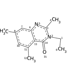 CCn1c(C)nc2cc(C)cc(C)c2c1=O